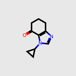 O=C1CCCc2ncn(C3CC3)c21